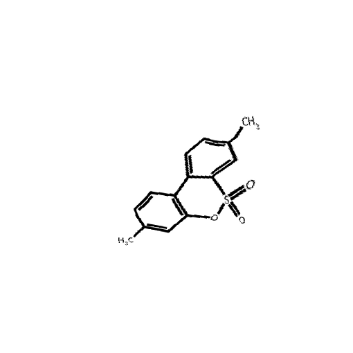 Cc1ccc2c(c1)OS(=O)(=O)c1cc(C)ccc1-2